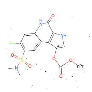 CCCOC(=O)Oc1c[nH]c2c(=O)[nH]c3cc(F)c(S(=O)(=O)N(C)C)cc3c12